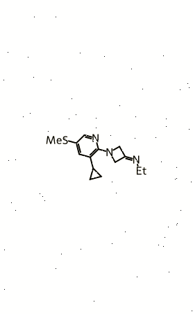 CCN=C1CN(c2ncc(SC)cc2C2CC2)C1